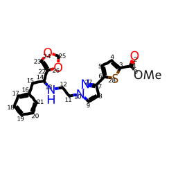 COC(=O)c1ccc(-c2ccn(CCNC(Cc3ccccc3)C3=COCO3)n2)s1